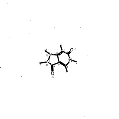 Cc1c(=O)n(C)c(C)c2c(=O)n(C)n(C)c12